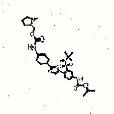 CC(C)OC(=O)Nc1ccc(-c2cnc(C3CCC(NC(=O)OC[C@H]4CCCN4C)CC3)s2)c(S(=O)(=O)NC(C)(C)C)c1